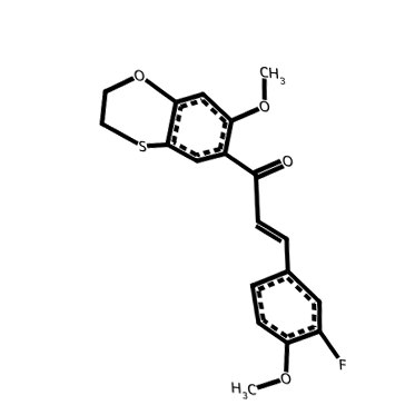 COc1ccc(/C=C/C(=O)c2cc3c(cc2OC)OCCS3)cc1F